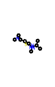 C1=C(c2ccc3c(c2)c2ccccc2n3-c2ccccc2)CCc2c1sc1cc(-c3nc(-c4ccccc4)nc(-c4cc(-c5ccccc5)cc(-c5ccccc5)c4)n3)ccc21